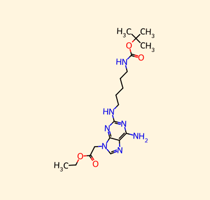 CCOC(=O)Cn1cnc2c(N)nc(NCCCCCNC(=O)OC(C)(C)C)nc21